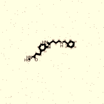 O=C(C=Cc1ccc2[nH]c(CCCNCc3ccccc3)nc2c1)NO